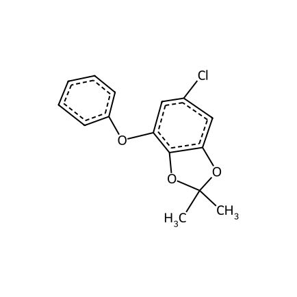 CC1(C)Oc2cc(Cl)cc(Oc3ccccc3)c2O1